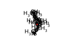 Cc1ncsc1-c1ccc([C@H](C)NC(=O)[C@@H]2C[C@@H](O)CN2C(=O)[C@@H](c2cc(N(C)C3CCN(C(=O)OC(C)(C)C)CC3)no2)C(C)C)cc1